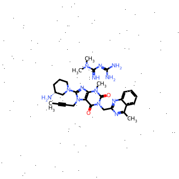 CC#CCn1c(N2CCC[C@@H](N)C2)nc2c1c(=O)n(Cc1nc(C)c3ccccc3n1)c(=O)n2C.CN(C)C(=N)N=C(N)N